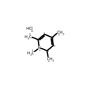 CC1=CC(C)N(C)C(C)=C1.Cl